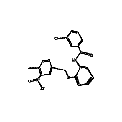 Cc1ccc(CSc2ccccc2NC(=O)c2cccc(Cl)c2)cc1[N+](=O)[O-]